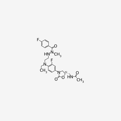 CCN(CCNN(C)C(=O)c1ccc(F)cc1)c1ccc(N2C[C@H](CNC(C)=O)OC2=O)cc1F